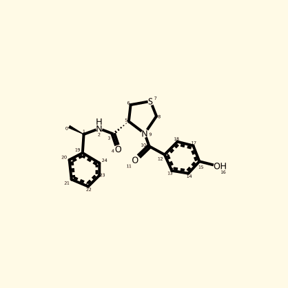 C[C@@H](NC(=O)[C@@H]1CSCN1C(=O)c1ccc(O)cc1)c1ccccc1